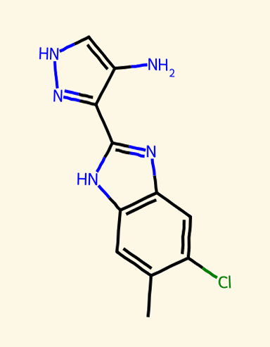 Cc1cc2[nH]c(-c3n[nH]cc3N)nc2cc1Cl